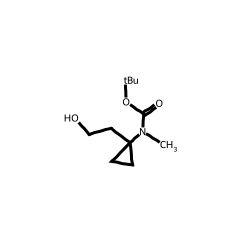 CN(C(=O)OC(C)(C)C)C1(CCO)CC1